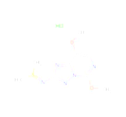 COc1cnc(OC)n2nc(N=S(C)C)nc12.Cl